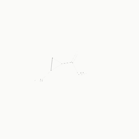 CNC(=O)C1CC1[N+](=O)[O-]